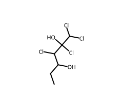 CCC(O)C(Cl)C(O)(Cl)C(Cl)Cl